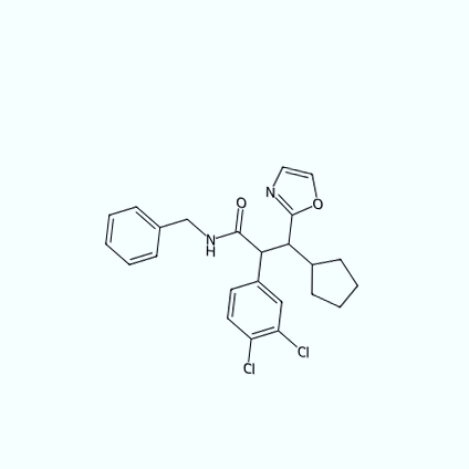 O=C(NCc1ccccc1)C(c1ccc(Cl)c(Cl)c1)C(c1ncco1)C1CCCC1